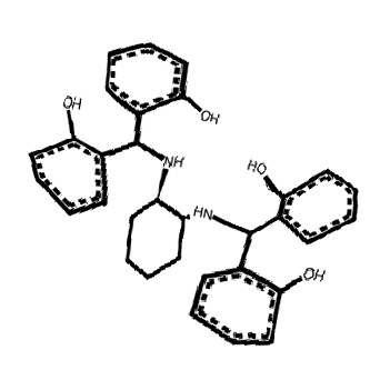 Oc1ccccc1C(N[C@@H]1CCCC[C@H]1NC(c1ccccc1O)c1ccccc1O)c1ccccc1O